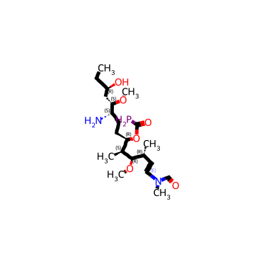 CC[C@@H](O)C[C@H](OC)[C@@H](N)CC[C@@H](OC(=O)P)[C@H](C)[C@H](OC)[C@H](C)/C=C/N(C)C=O